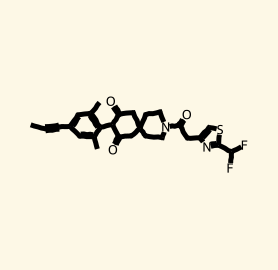 CC#Cc1cc(C)c(C2C(=O)CC3(CCN(C(=O)Cc4csc(C(F)F)n4)CC3)CC2=O)c(C)c1